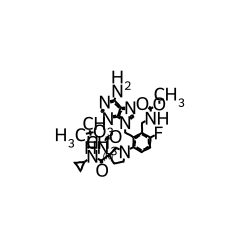 COC(=O)NCc1c(F)ccc(N2CC[C@](NC(=O)OC(C)(C)C)(C(=O)NC3CC3)C2)c1Cn1cnc2c(N)ncnc21